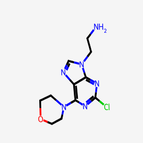 NCCn1cnc2c(N3CCOCC3)nc(Cl)nc21